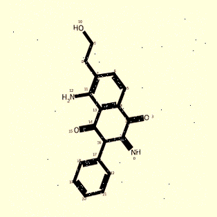 N=C1C(=O)c2ccc(CCO)c(N)c2C(=O)C1c1ccccc1